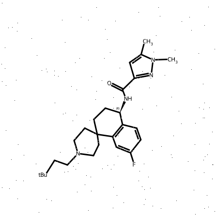 Cc1cc(C(=O)N[C@@H]2CCC3(CCN(CCC(C)(C)C)CC3)c3cc(F)ccc32)nn1C